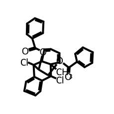 CC12C=CC=CC1C1(Cl)c3ccccc3C2(Cl)C(OC(=O)c2ccccc2)C1OC(=O)c1ccccc1